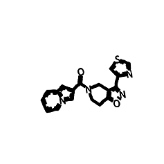 O=C(c1cc2ccccn2c1)N1CCc2onc(-c3cscn3)c2C1